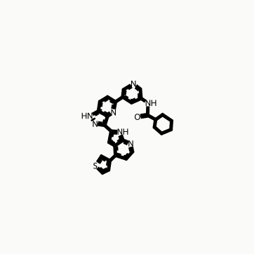 O=C(Nc1cncc(-c2ccc3[nH]nc(-c4cc5c(-c6ccsc6)ccnc5[nH]4)c3n2)c1)C1CCCCC1